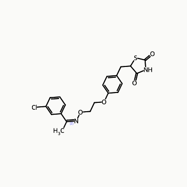 C/C(=N/OCCOc1ccc(CC2SC(=O)NC2=O)cc1)c1cccc(Cl)c1